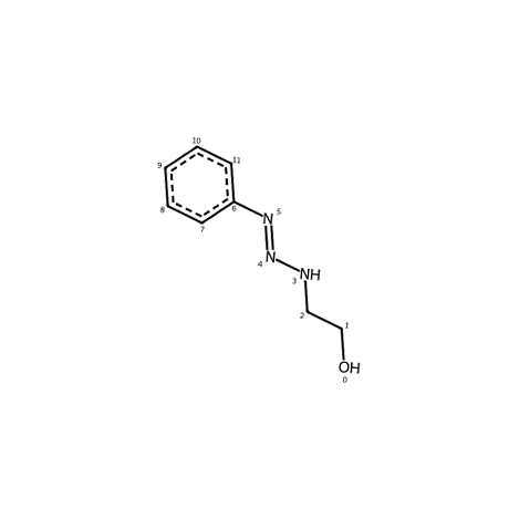 OCCNN=Nc1ccccc1